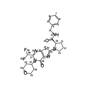 O=C(NCc1ccccc1)[C@H]1CCCN1c1nc2c(=O)n(C3CCOCC3)c(C(F)F)nc2s1